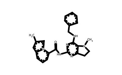 Cc1cc2cccc(C(=O)Nc3nc4c(c(NCc5ccccc5)n3)N(C)CC4)n2c1